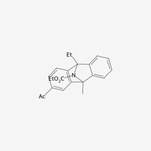 CCOC(=O)N1C2(C)c3ccccc3C1(CC)c1ccc(C(C)=O)cc12